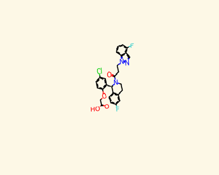 O=C(O)COc1ccc(Cl)cc1[C@@H]1c2ccc(F)cc2CCN1C(=O)CCn1ncc2c(F)cccc21